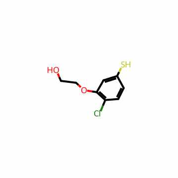 OCCOc1cc(S)ccc1Cl